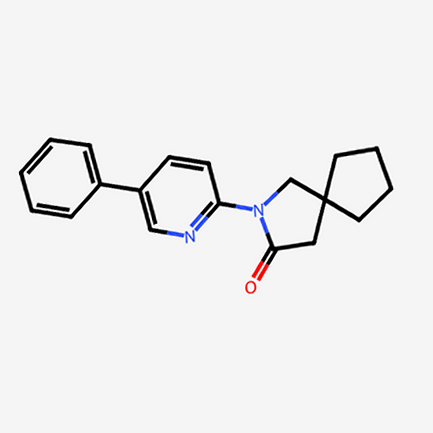 O=C1CC2(CCCC2)CN1c1ccc(-c2ccccc2)cn1